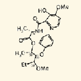 CC[C@H](OC)[C@@H](Oc1ccccc1)[C@H](C)OC(=O)[C@H](C)NC(=O)c1nccc(OC)c1O